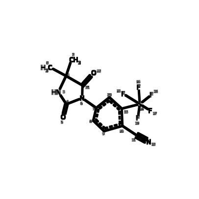 CC1(C)NC(=O)N(c2ccc(C#N)c(S(F)(F)(F)(F)F)c2)C1=O